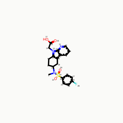 CN(C1CCc2c(c3cccnc3n2CC(=O)O)C1)S(=O)(=O)c1ccc(F)cc1